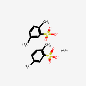 Cc1ccc(C)c(S(=O)(=O)[O-])c1.Cc1ccc(C)c(S(=O)(=O)[O-])c1.[Pb+2]